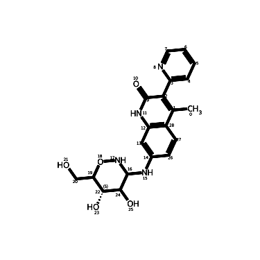 Cc1c(-c2ccccn2)c(=O)[nH]c2cc(NC3NOC(CO)[C@@H](O)C3O)ccc12